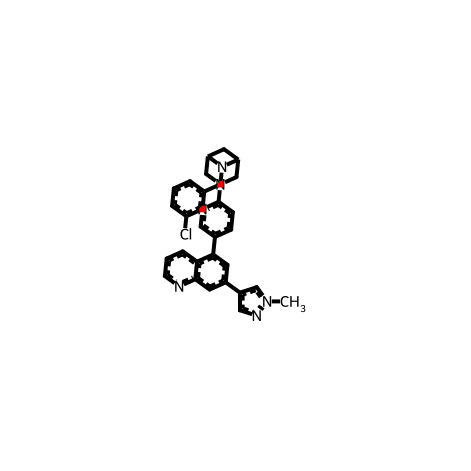 Cn1cc(-c2cc(-c3ccc(N4CC5CC(C4)N5Cc4cccc(Cl)c4)nc3)c3cccnc3c2)cn1